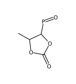 CC1OC(=O)OC1P=O